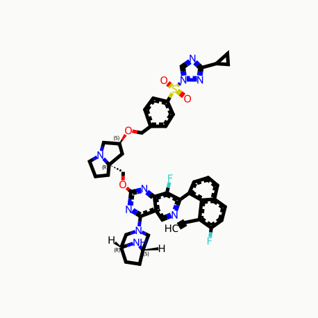 C#Cc1c(F)ccc2cccc(-c3ncc4c(N5C[C@H]6CC[C@@H](C5)N6)nc(OC[C@]56CCCN5C[C@@H](OCc5ccc(S(=O)(=O)n7cnc(C8CC8)n7)cc5)C6)nc4c3F)c12